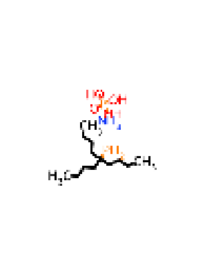 CCCCC(P)(CCCC)CCCC.N.O=P(O)(O)O